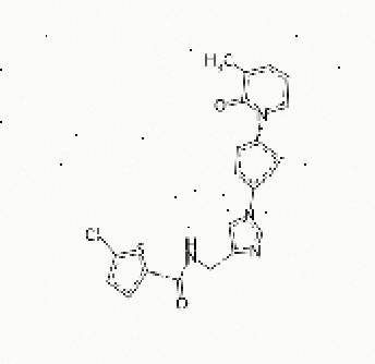 Cc1cccn(-c2ccc(-n3cnc(CNC(=O)c4ccc(Cl)s4)c3)cc2)c1=O